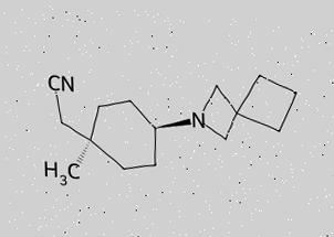 C[C@]1(CC#N)CC[C@@H](N2CC3(CCC3)C2)CC1